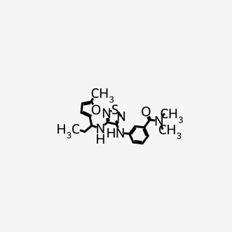 CCC(Nc1nsnc1Nc1cccc(C(=O)N(C)C)c1)c1ccc(C)o1